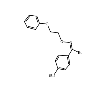 CCC(=NOCCOc1c[c]ccc1)c1ccc(C(C)(C)C)cc1